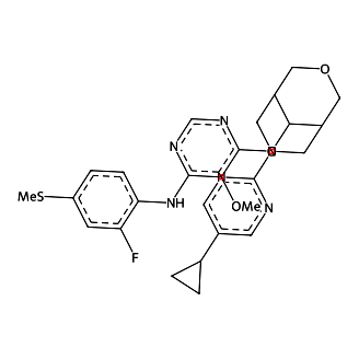 COc1c(Nc2ccc(SC)cc2F)ncnc1OC1C2COCC1CN(c1ncc(C3CC3)cn1)C2